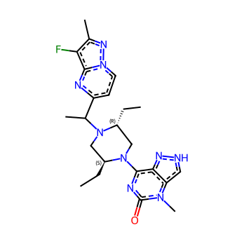 CC[C@H]1CN(C(C)c2ccn3nc(C)c(F)c3n2)[C@H](CC)CN1c1nc(=O)n(C)c2c[nH]nc12